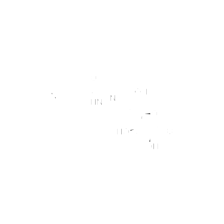 O=C(N/N=C/[C@H](O)[C@H]1OC(=O)[C@@H](O)[C@H]1O)c1ccncc1